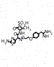 C[C@H]1[C@H](NC(=O)/C(=N\OCCOc2ccc(CC(=N)N)cc2)c2csc(N)n2)C(=O)N1S(=O)(=O)O